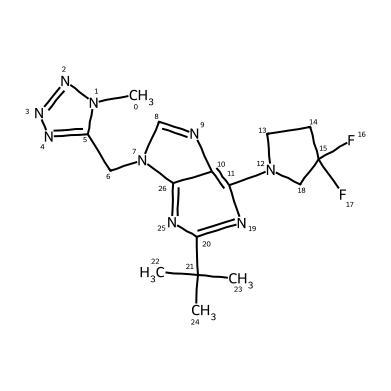 Cn1nnnc1Cn1cnc2c(N3CCC(F)(F)C3)nc(C(C)(C)C)nc21